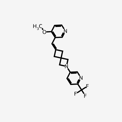 COc1ccncc1C=C1CC2(C1)CN(c1ccc(C(F)(F)F)nc1)C2